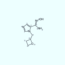 NC(=NO)c1cncn1CC1CCO1